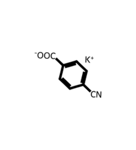 N#Cc1ccc(C(=O)[O-])cc1.[K+]